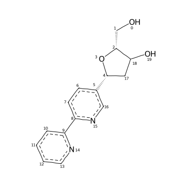 OC[C@H]1O[C@@H](c2ccc(-c3ccccn3)nc2)CC1O